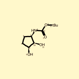 CC(C)(C)OC(=O)N[C@@H]1CC[C@H](O)[C@@H]1O